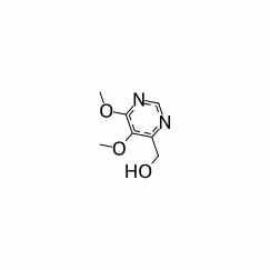 COc1ncnc(CO)c1OC